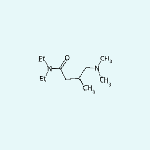 CCN(CC)C(=O)CC(C)CN(C)C